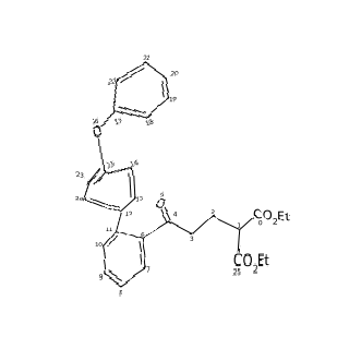 CCOC(=O)C(CCC(=O)c1ccccc1-c1ccc(Oc2ccccc2)cc1)C(=O)OCC